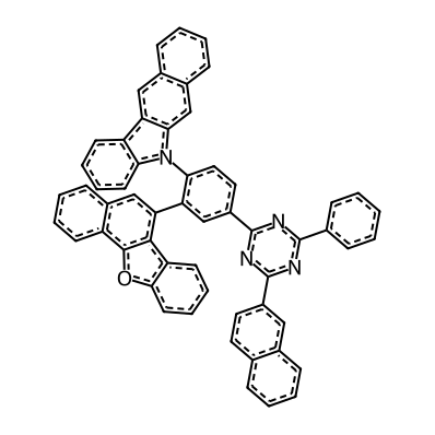 c1ccc(-c2nc(-c3ccc(-n4c5ccccc5c5cc6ccccc6cc54)c(-c4cc5ccccc5c5oc6ccccc6c45)c3)nc(-c3ccc4ccccc4c3)n2)cc1